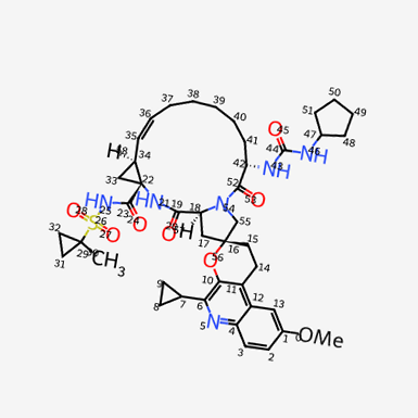 COc1ccc2nc(C3CC3)c3c(c2c1)CC[C@]1(C[C@H]2C(=O)N[C@]4(C(=O)NS(=O)(=O)C5(C)CC5)C[C@H]4C=CCCCCC[C@H](NC(=O)NC4CCCC4)C(=O)N2C1)O3